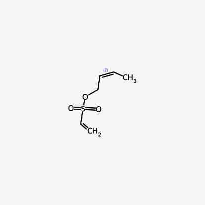 C=CS(=O)(=O)OC/C=C\C